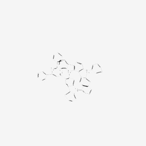 c1ccc(-c2cc(-c3cc4c5ccccc5n(-c5ccccc5)c4cc3-n3c4ccccc4c4ccc5c(c6ccccc6n5-c5ccccc5)c43)nc(-c3ccccc3)n2)cc1